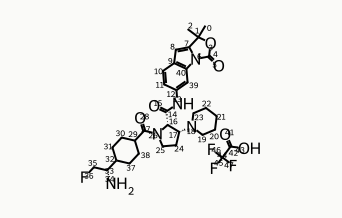 CC1(C)OC(=O)n2c1cc1ccc(NC(=O)[C@@H]3[C@H](N4CCCCC4)CCN3C(=O)C3CCC([C@H](N)CF)CC3)cc12.O=C(O)C(F)(F)F